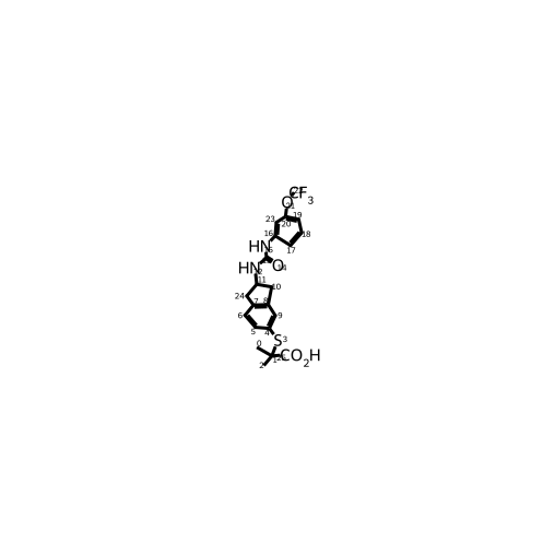 CC(C)(Sc1ccc2c(c1)CC(NC(=O)Nc1cccc(OC(F)(F)F)c1)C2)C(=O)O